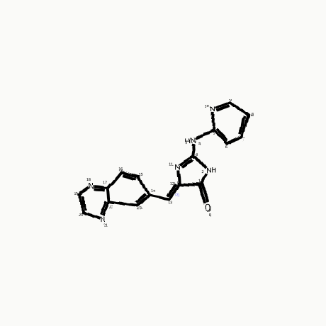 O=C1NC(Nc2ccccn2)=N/C1=C\c1ccc2nccnc2c1